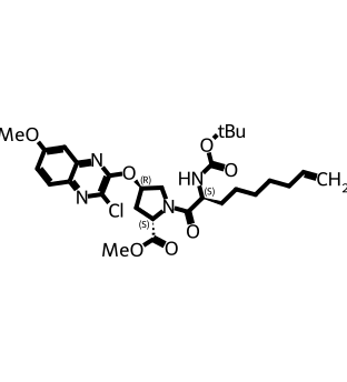 C=CCCCCC[C@H](NC(=O)OC(C)(C)C)C(=O)N1C[C@H](Oc2nc3cc(OC)ccc3nc2Cl)C[C@H]1C(=O)OC